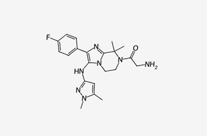 Cc1cc(Nc2c(-c3ccc(F)cc3)nc3n2CCN(C(=O)CN)C3(C)C)nn1C